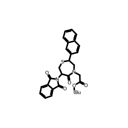 CC(C)(C)OC(=O)CN1CC(c2ccc3ccccc3c2)SCC(N2C(=O)c3ccccc3C2=O)C1=O